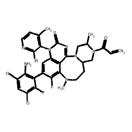 C=CC(=O)N1CC2CCN(C)c3c(F)c(-c4c(N)c(Cl)cc(Cl)c4F)cc4c3c(nc(=O)n4-c3c(C)ccnc3C(C)C)N2CC1C